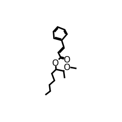 CCCCCC(OC(=O)C=Cc1ccccc1)C(C)OC